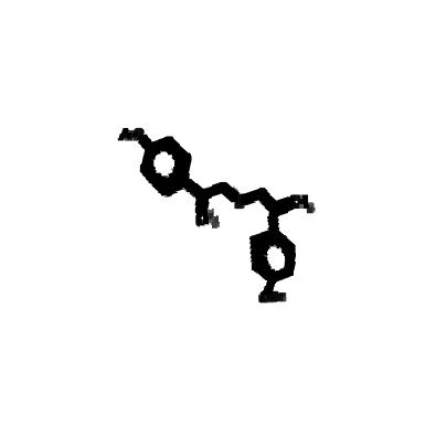 C=C(CSCC(=C)c1ccc(OC(C)=O)cc1)c1ccc(OC(C)=O)cc1